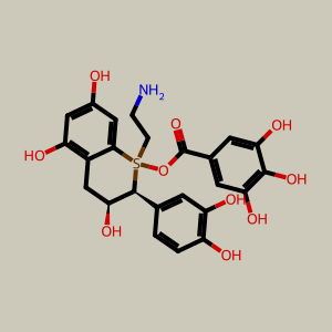 NCCS1(OC(=O)c2cc(O)c(O)c(O)c2)c2cc(O)cc(O)c2C[C@H](O)[C@@H]1c1ccc(O)c(O)c1